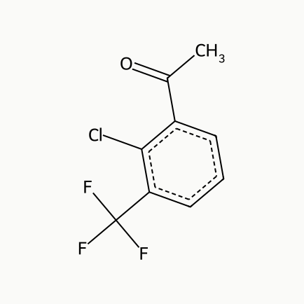 CC(=O)c1cccc(C(F)(F)F)c1Cl